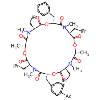 CC(=O)c1ccc(C[C@H]2OC(=O)[C@H](CC(C)C)N(C)C(=O)[C@@H](C)OC(=O)[C@H](CC(C)C)N(C)C(=O)[C@@H](Cc3ccccc3)OC(=O)[C@H](CC(C)C)N(C)C(=O)[C@@H](C)OC(=O)[C@H](CC(C)C)N(C)C2=O)cc1